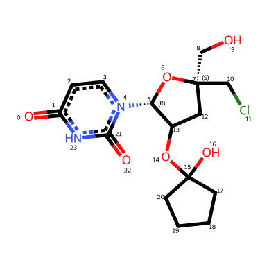 O=c1ccn([C@@H]2O[C@@](CO)(CCl)CC2OC2(O)CCCC2)c(=O)[nH]1